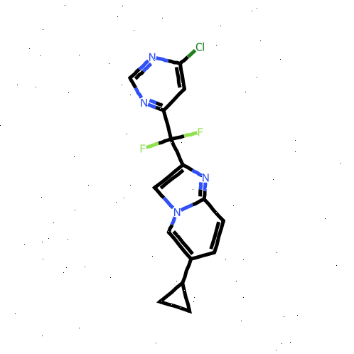 FC(F)(c1cc(Cl)ncn1)c1cn2cc(C3CC3)ccc2n1